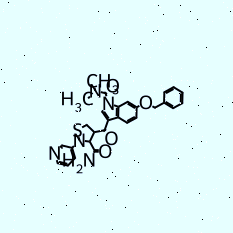 CN(C)C(=O)n1cc(C(=O)C2CSN(c3cccnc3)C2C(N)=O)c2ccc(OCc3ccccc3)cc21